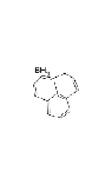 B.C1=Cc2cccc3cccc(c23)C1